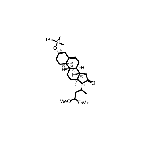 COC(CC(C)[C@H]1C(=O)C[C@H]2[C@@H]3CC=C4C[C@@H](O[Si](C)(C)C(C)(C)C)CC[C@]4(C)[C@H]3CC[C@]12C)OC